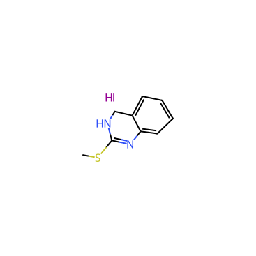 CSC1=Nc2ccccc2CN1.I